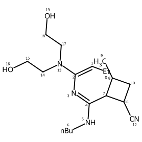 CC/C=C(\N=C(\NCCCC)C1C(C)CC1C#N)N(CCO)CCO